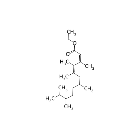 CCOC(=O)C=C(C)C(C)=C(C)CC(C)CCC(C)C(C)C